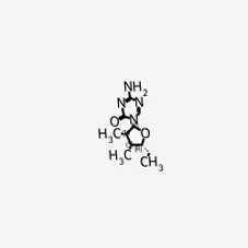 CC[C@H]1O[C@@H](n2cnc(N)nc2=O)[C@H](C)[C@@H]1C